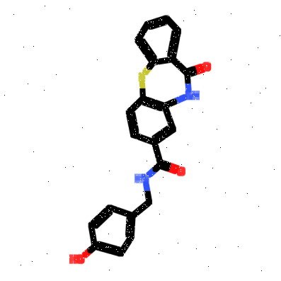 O=C(NCc1ccc(O)cc1)c1ccc2c(c1)NC(=O)c1ccccc1S2